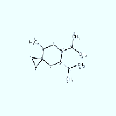 CC(C)[C@@H]1CC2(CC2)[C@H](C)CN1C(C)C